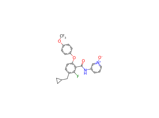 O=C(Nc1ccc[n+]([O-])c1)c1c(Oc2ccc(OC(F)(F)F)cc2)ccc(CC2CC2)c1F